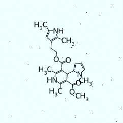 COC(=O)C1=C(C)NC(C)=C(C(=O)OCCc2cc(C)[nH]c2C)C1c1cccn1C